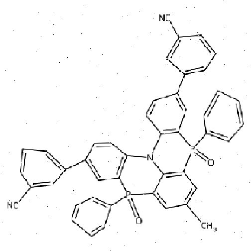 Cc1cc2c3c(c1)P(=O)(c1ccccc1)c1cc(-c4cccc(C#N)c4)ccc1N3c1ccc(-c3cccc(C#N)c3)cc1P2(=O)c1ccccc1